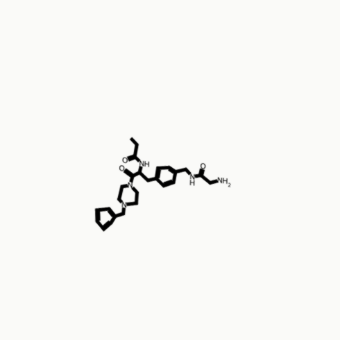 CCC(=O)NC(Cc1ccc(CNC(=O)CN)cc1)C(=O)N1CCN(Cc2ccccc2)CC1